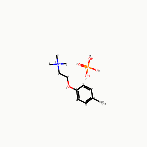 C[N+](C)(C)CCOc1ccc([N+](=O)[O-])cc1.O=P([O-])(O)O